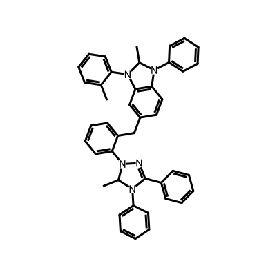 Cc1ccccc1N1c2cc(Cc3ccccc3N3N=C(c4ccccc4)N(c4ccccc4)C3C)ccc2N(c2ccccc2)C1C